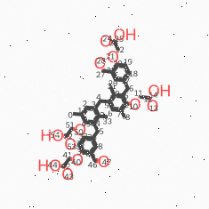 Cc1cc(Cc2cc(C)c(OCC(=O)O)c(Cc3ccc(OCC(=O)O)c(C=O)c3)c2C)c(C)c(Cc2ccc(OCC(=O)O)c(C=O)c2)c1OCC(=O)O